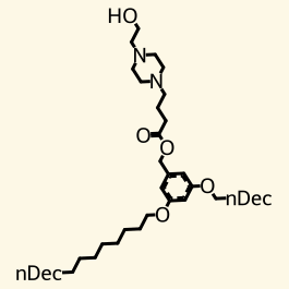 CCCCCCCCCCCCCCCCCCOc1cc(COC(=O)CCCN2CCN(CCO)CC2)cc(OCCCCCCCCCCC)c1